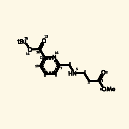 COC(=O)CCNCc1cccc(C(=O)OC(C)(C)C)n1